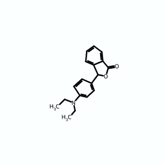 CCN(CC)c1ccc(C2OC(=O)c3ccccc32)cc1